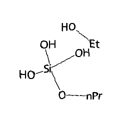 CCCO[Si](O)(O)O.CCO